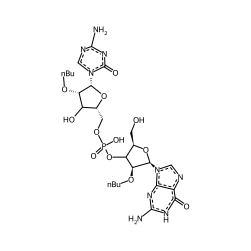 CCCCO[C@H]1C(O)[C@@H](COP(=O)(O)OC2[C@@H](CO)O[C@@H](n3cnc4c(=O)[nH]c(N)nc43)[C@H]2OCCCC)O[C@H]1n1cnc(N)nc1=O